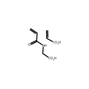 C=CC(=O)NCC(=O)O.C=CC(=O)O